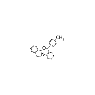 Cc1ccc(C2OC3c4ccccc4C=CN3c3ccccc32)cc1